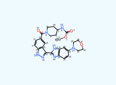 CC(C)(C)OC(=O)NC1CCN(C(=O)c2ccc3[nH]nc(-c4nc5ccc(N6CCOCC6)cc5[nH]4)c3c2)CC1